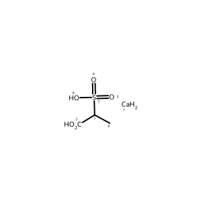 CC(C(=O)O)S(=O)(=O)O.[CaH2]